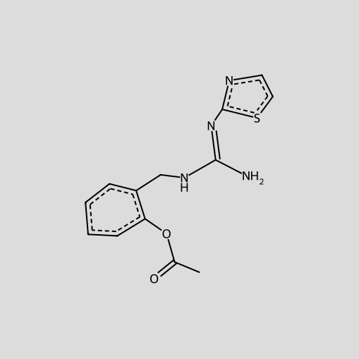 CC(=O)Oc1ccccc1CNC(N)=Nc1nccs1